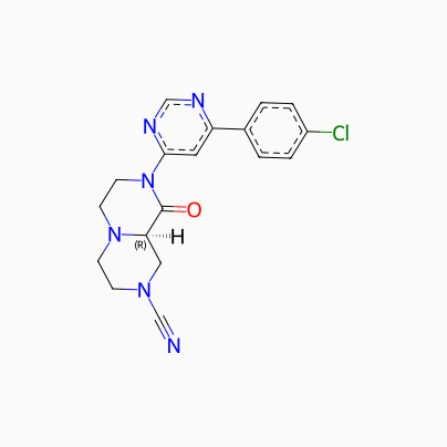 N#CN1CCN2CCN(c3cc(-c4ccc(Cl)cc4)ncn3)C(=O)[C@H]2C1